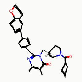 Cc1nc(-c2ccc(-c3ccc4occc4c3)cc2)n(C[C@@H]2CCN(C(=O)C3CC3)C2)c(=O)c1C